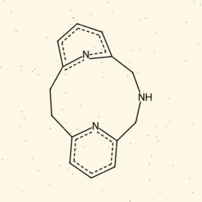 c1cc2nc(c1)CNCc1cccc(n1)CC2